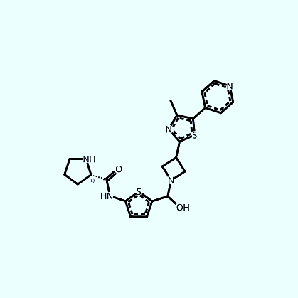 Cc1nc(C2CN(C(O)c3ccc(NC(=O)[C@@H]4CCCN4)s3)C2)sc1-c1ccncc1